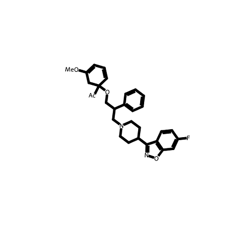 COC1=CC=CC(OCC(CN2CCC(c3noc4cc(F)ccc34)CC2)c2ccccc2)(C(C)=O)C1